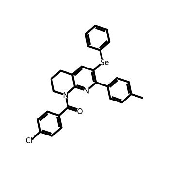 Cc1ccc(-c2nc3c(cc2[Se]c2ccccc2)CCCN3C(=O)c2ccc(Cl)cc2)cc1